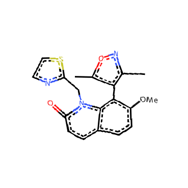 COc1ccc2ccc(=O)n(Cc3nccs3)c2c1-c1c(C)noc1C